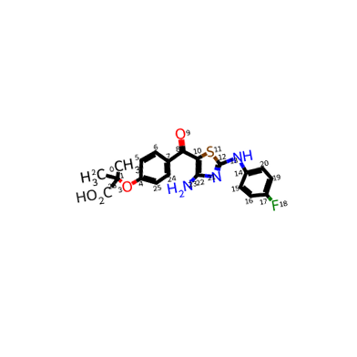 CC(C)(Oc1ccc(C(=O)c2sc(Nc3ccc(F)cc3)nc2N)cc1)C(=O)O